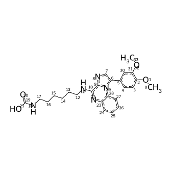 COc1ccc(-c2cnc3c(NCCCCCCNC(=O)O)nc4ccccc4n23)cc1OC